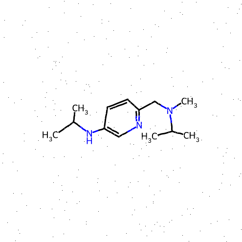 CC(C)Nc1ccc(CN(C)C(C)C)nc1